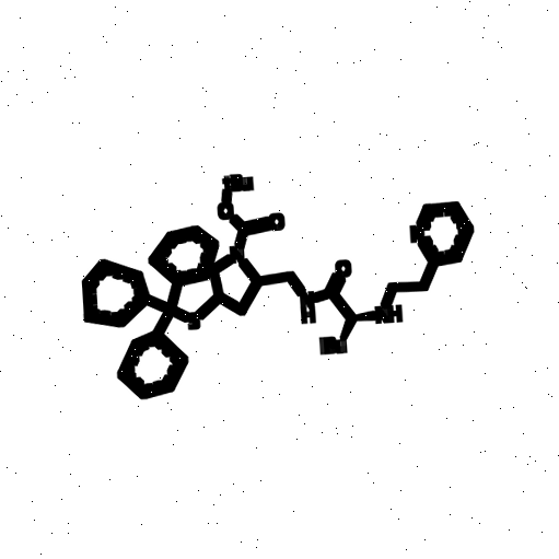 CC[C@H](C)[C@H](NCCc1ccccn1)C(=O)NCC1CC(SC(c2ccccc2)(c2ccccc2)c2ccccc2)CN1C(=O)OC(C)(C)C